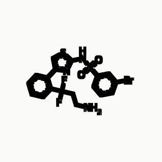 NCCC(F)(F)c1ccccc1-c1csc(NS(=O)(=O)c2cccc(Br)c2)n1